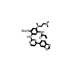 C=CC(=O)Nc1cc(Nc2nccc(-c3ccc4ncsc4c3)n2)c(OC)cc1N(C)CCN(C)C